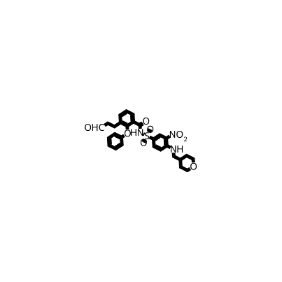 O=CCCc1cccc(C(=O)NS(=O)(=O)c2ccc(NCC3CCOCC3)c([N+](=O)[O-])c2)c1Oc1ccccc1